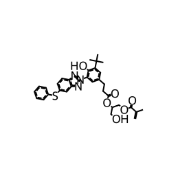 C=C(C)C(=O)OCC(CO)OC(=O)CCc1cc(-n2nc3ccc(Sc4ccccc4)cc3n2)c(O)c(C(C)(C)C)c1